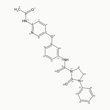 CC(=O)Nc1ccc(Oc2cccc(NC(=O)N3CCN(c4ccccc4)C3=O)c2)cn1